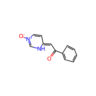 O=C(C=C1C=C[N+]([O-])=CN1)c1ccccc1